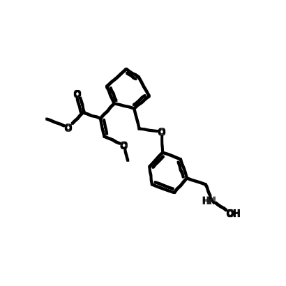 CO/C=C(/C(=O)OC)c1ccccc1COc1cccc(CNO)c1